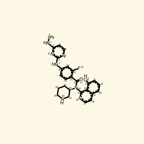 CCCNc1ccnc(Nc2ccc(C(=O)N(c3nccc4cccc(C)c34)[C@@H]3CCCNC3)c(F)c2)n1